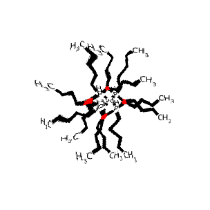 CCCCC[PH](CCCCC)(CCCCC)[Pd]([PH](CCCCC)(CCCCC)CCCCC)([PH](CCCCC)(CCCCC)CCCCC)[PH](CCCCC)(CCCCC)CCCCC